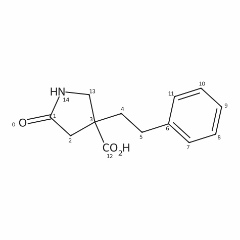 O=C1CC(CCc2ccccc2)(C(=O)O)CN1